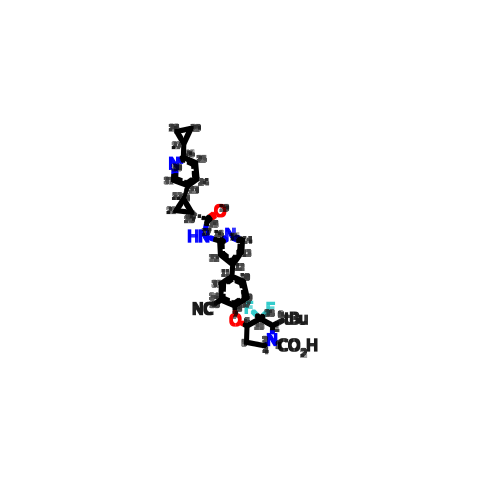 CC(C)(C)C1N(C(=O)O)CCC(Oc2ccc(-c3ccnc(NC(=O)[C@@H]4C[C@H]4c4ccc(C5CC5)nc4)c3)cc2C#N)C1(F)F